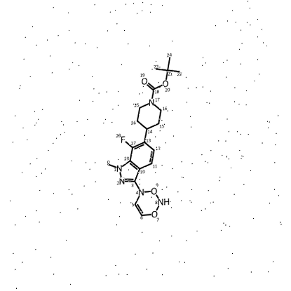 Cn1nc(-n2cco[nH]o2)c2ccc(C3CCN(C(=O)OC(C)(C)C)CC3)c(F)c21